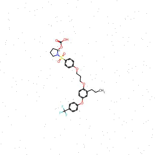 CCCc1cc(Oc2ccc(C(F)(F)F)cc2)ccc1OCCCOc1ccc(S(=O)(=O)N2CCC[C@H]2OC(=O)O)cc1